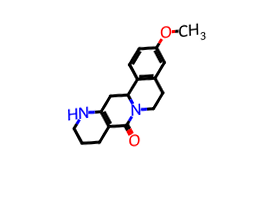 COc1ccc2c(c1)CCN1C(=O)C3=C(CC21)NCCC3